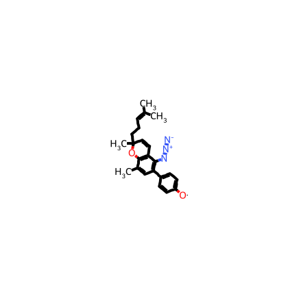 CC(C)=CCCC1(C)C=Cc2c(N=[N+]=[N-])c(-c3ccc([O])cc3)cc(C)c2O1